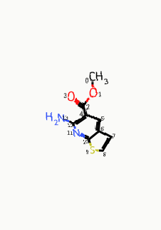 COC(=O)c1cc2ccsc2nc1N